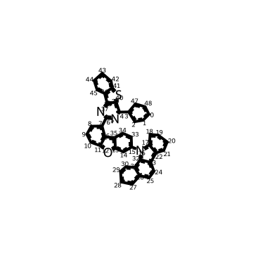 c1ccc(-c2nc(-c3cccc4oc5cc(-n6c7ccccc7c7ccc8ccccc8c76)ccc5c34)nc3c2sc2ccccc23)cc1